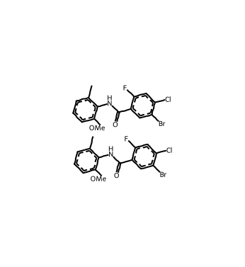 COc1cccc(C)c1NC(=O)c1cc(Br)c(Cl)cc1F.COc1cccc(C)c1NC(=O)c1cc(Br)c(Cl)cc1F